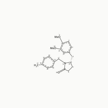 COc1ccc(C[C@@H]2CCC(=O)N2Cc2ccc(C)cc2)cc1OC